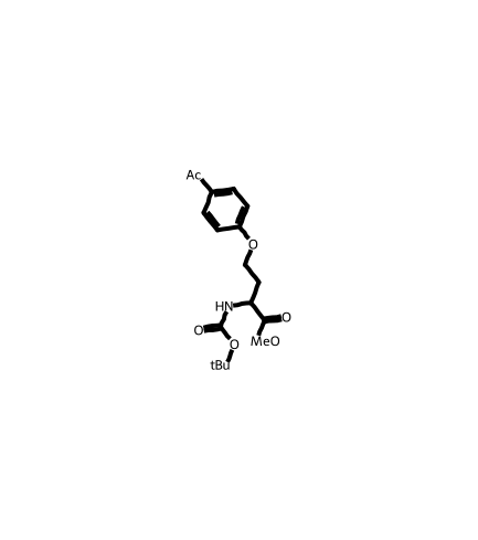 COC(=O)C(CCOc1ccc(C(C)=O)cc1)NC(=O)OC(C)(C)C